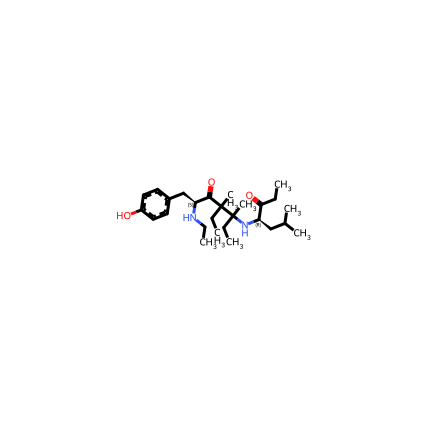 CCN[C@@H](Cc1ccc(O)cc1)C(=O)C(C)(CC)C(C)(CC)N[C@H](CC(C)C)C(=O)CC